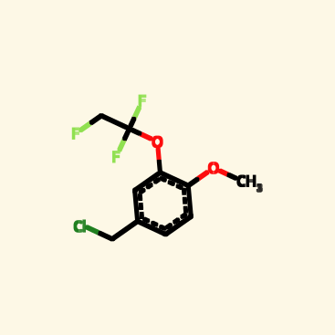 COc1ccc(CCl)cc1OC(F)(F)CF